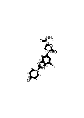 NC(=O)[C@H]1CN(c2cc(F)c3nc(N4CCC(=O)CC4)oc3c2)C(=O)O1